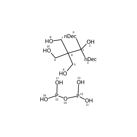 CCCCCCCCCCC(O)(CCCCCCCCCC)C(CO)(CO)CO.OP(O)OP(O)O